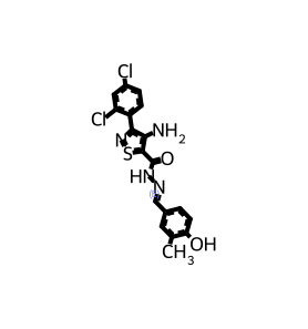 Cc1cc(/C=N/NC(=O)c2snc(-c3ccc(Cl)cc3Cl)c2N)ccc1O